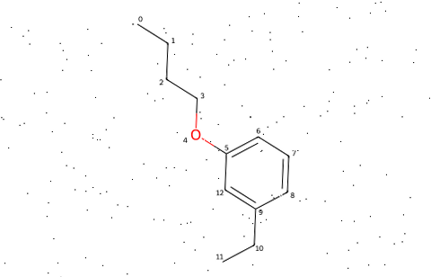 [CH2]CCCOc1cccc(CC)c1